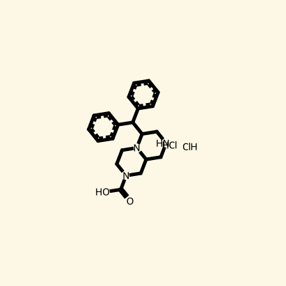 Cl.Cl.O=C(O)N1CCN2C(CNCC2C(c2ccccc2)c2ccccc2)C1